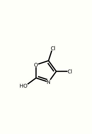 Oc1nc(Cl)c(Cl)o1